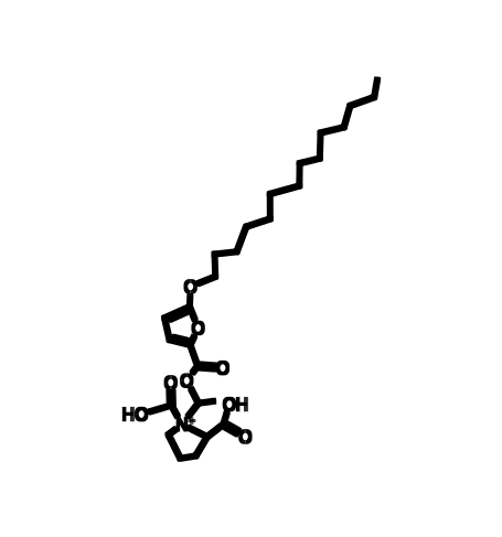 CCCCCCCCCCCCCCOc1ccc(C(=O)OC(C)[N+]2(C(=O)O)CCCC2C(=O)O)o1